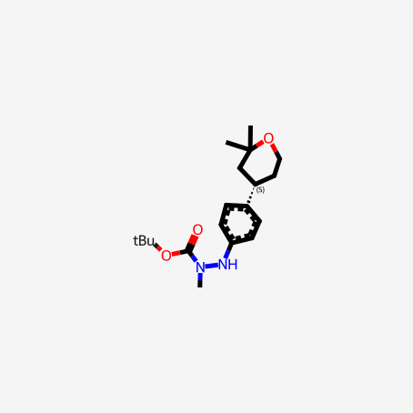 CN(Nc1ccc([C@H]2CCOC(C)(C)C2)cc1)C(=O)OC(C)(C)C